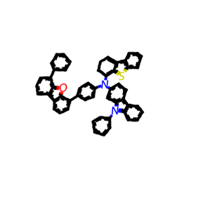 C1=c2c(sc3ccccc23)=C(N(c2ccc(-c3cccc4c3oc3c(-c5ccccc5)cccc34)cc2)c2ccc3c4ccccc4n(-c4ccccc4)c3c2)CC1